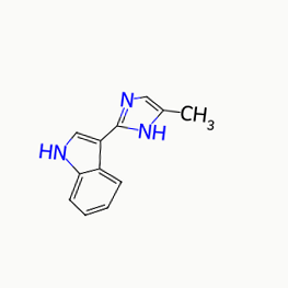 Cc1cnc(-c2c[nH]c3ccccc23)[nH]1